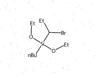 CCCC[Si](OCC)(OCC)C(Br)CC